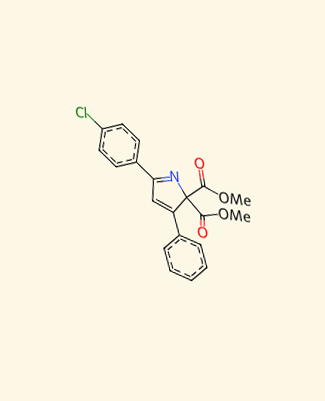 COC(=O)C1(C(=O)OC)N=C(c2ccc(Cl)cc2)C=C1c1ccccc1